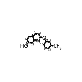 Oc1ccc2ccc(Oc3cccc(C(F)(F)F)c3)nc2c1